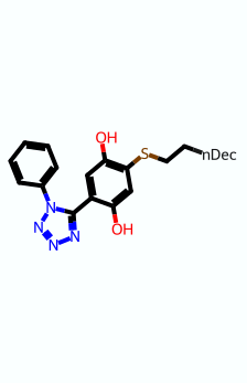 CCCCCCCCCCCCSc1cc(O)c(-c2nnnn2-c2ccccc2)cc1O